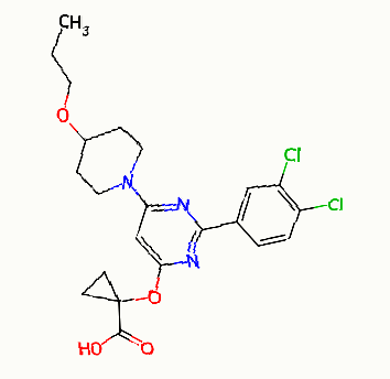 CCCOC1CCN(c2cc(OC3(C(=O)O)CC3)nc(-c3ccc(Cl)c(Cl)c3)n2)CC1